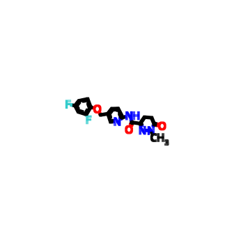 CN1N=C(C(=O)Nc2ccc(COc3ccc(F)cc3F)cn2)CCC1=O